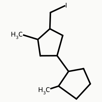 CC1CC(C2CCCC2C)CC1CI